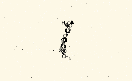 CCCS(=O)(=O)N1CCN(c2ccc(OCC3CCN(C(=O)OC4(C)CC4)CC3)cn2)CC1